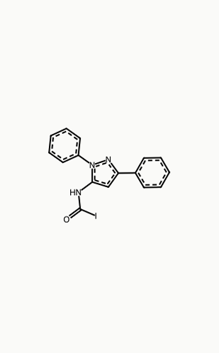 O=C(I)Nc1cc(-c2ccccc2)nn1-c1ccccc1